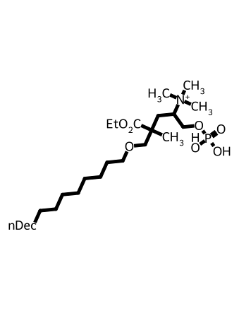 CCCCCCCCCCCCCCCCCCOCC(C)(CC(COP(=O)(O)O)[N+](C)(C)C)C(=O)OCC